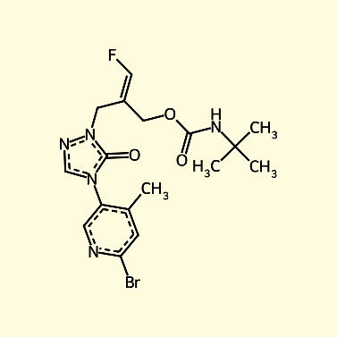 Cc1cc(Br)ncc1-n1cnn(C/C(=C\F)COC(=O)NC(C)(C)C)c1=O